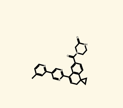 Cc1ccnc(-c2cnc(C3=CCC4(CC4)c4ccc(C(=O)N5CCNC(=O)C5)cc43)nc2)c1